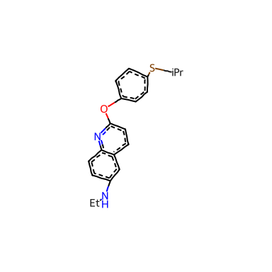 CCNc1ccc2nc(Oc3ccc(SC(C)C)cc3)ccc2c1